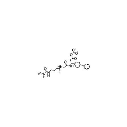 CCCNC(=O)NCCCC(=O)NCC(=O)NC(CC(=O)OC(=O)C(F)(F)F)c1ccc(-c2ccccc2)cc1